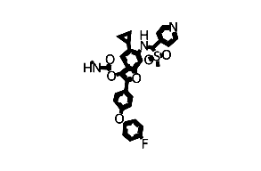 CNC(=O)Oc1c(-c2ccc(Oc3ccc(F)cc3)cc2)oc2cc(NC(c3ccncc3)S(C)(=O)=O)c(C3CC3)cc12